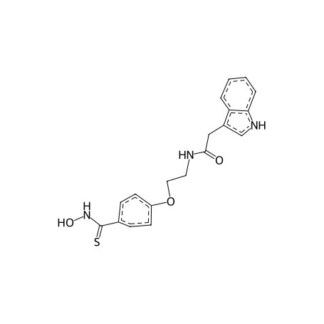 O=C(Cc1c[nH]c2ccccc12)NCCOc1ccc(C(=S)NO)cc1